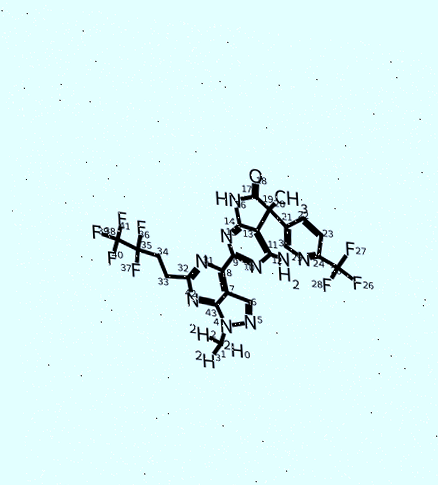 [2H]C([2H])([2H])n1ncc2c(-c3nc(N)c4c(n3)NC(=O)C4(C)c3ccc(C(F)(F)F)nc3)nc(CCC(F)(F)C(F)(F)F)nc21